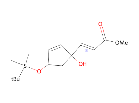 COC(=O)/C=C/C1(O)C=CC(O[Si](C)(C)C(C)(C)C)C1